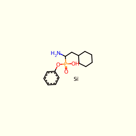 NC(CC1CCCCC1)P(=O)(O)Oc1ccccc1.[Si]